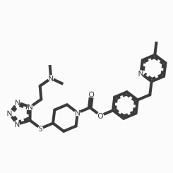 Cc1ccc(Cc2ccc(OC(=O)N3CCC(Sc4nnnn4CCN(C)C)CC3)cc2)nc1